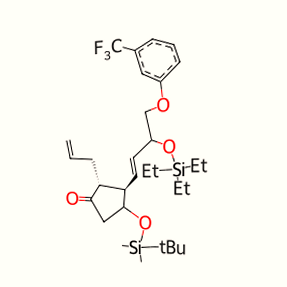 C=CC[C@H]1C(=O)CC(O[Si](C)(C)C(C)(C)C)[C@@H]1/C=C/C(COc1cccc(C(F)(F)F)c1)O[Si](CC)(CC)CC